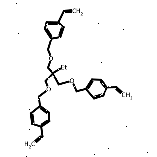 C=Cc1ccc(COCC(CC)(COCc2ccc(C=C)cc2)COCc2ccc(C=C)cc2)cc1